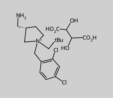 CC(C)(C)C[N+]1(Cc2ccc(Cl)cc2Cl)CC[C@@H](CN)C1.O=C(O)C(O)C(O)C(=O)O